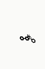 c1ccc(-c2ccc3c(c2)ncn3C2CCCCC2)cc1